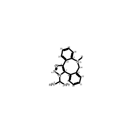 CCCC(CCC)n1nnc2c1-c1ccccc1CN(C)c1ccccc1-2